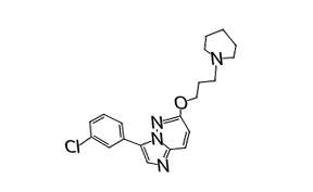 Clc1cccc(-c2cnc3ccc(OCCCN4CCCCC4)nn23)c1